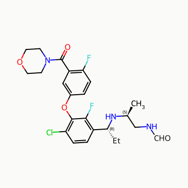 CC[C@@H](N[C@@H](C)CNC=O)c1ccc(Cl)c(Oc2ccc(F)c(C(=O)N3CCOCC3)c2)c1F